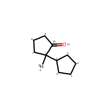 [2H]C1(C2CCCC2)CCCC1=O